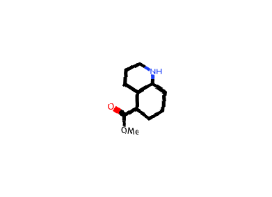 COC(=O)C1CCCC2NCCCC21